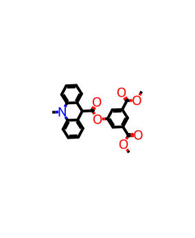 COC(=O)c1cc(OC(=O)C2c3ccccc3N(C)c3ccccc32)cc(C(=O)OC)c1